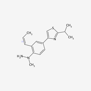 C/C=C\c1cc(-c2csc(C(C)C)n2)ccc1N(C)N